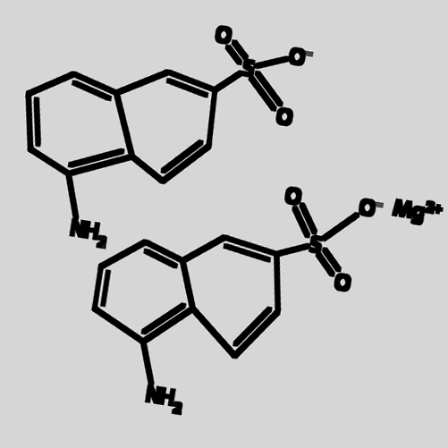 Nc1cccc2cc(S(=O)(=O)[O-])ccc12.Nc1cccc2cc(S(=O)(=O)[O-])ccc12.[Mg+2]